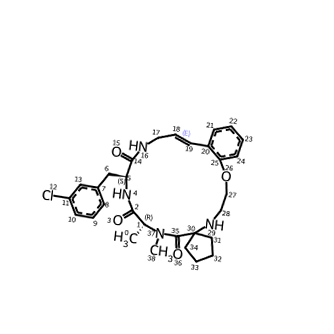 C[C@@H]1C(=O)N[C@@H](Cc2cccc(Cl)c2)C(=O)NC/C=C/c2ccccc2OCCNC2(CCCC2)C(=O)N1C